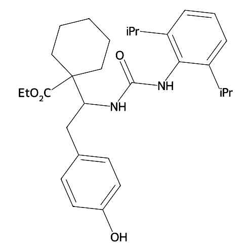 CCOC(=O)C1(C(Cc2ccc(O)cc2)NC(=O)Nc2c(C(C)C)cccc2C(C)C)CCCCC1